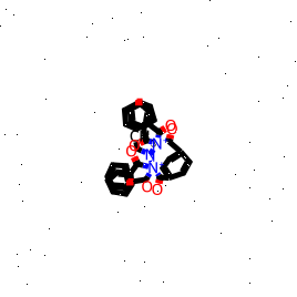 CCN1[N+](C(=O)c2ccccc2)(C(=O)c2ccccc2)C(=O)c2ccc(cc2)C(=O)[N+]1(C(=O)c1ccccc1)C(=O)c1ccccc1